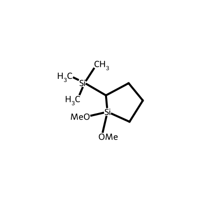 CO[Si]1(OC)CCCC1[Si](C)(C)C